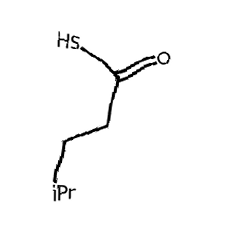 CC(C)CCC(=O)S